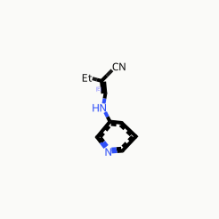 CC/C(C#N)=C\Nc1cccnc1